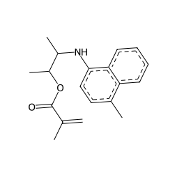 C=C(C)C(=O)OC(C)C(C)Nc1ccc(C)c2ccccc12